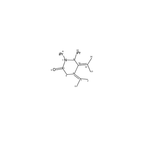 CC(C)=C1CC(=O)N(C(C)C)C(C(C)C)C1=C(C)C